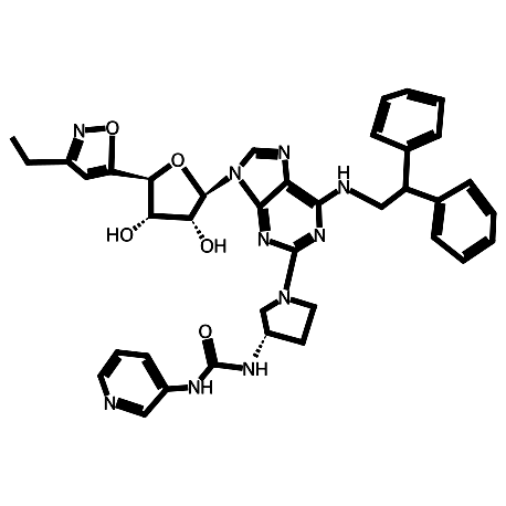 CCc1cc([C@H]2O[C@@H](n3cnc4c(NCC(c5ccccc5)c5ccccc5)nc(N5CC[C@H](NC(=O)Nc6cccnc6)C5)nc43)[C@H](O)[C@@H]2O)on1